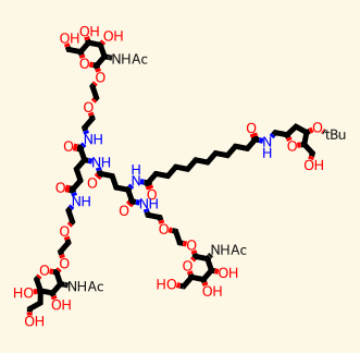 CC(=O)NC1C(OCCOCCNC(=O)C(CCC(=O)NCCOCCOC2OCC(O)(CCO)C(O)C2NC(C)=O)NC(=O)CCC(NC(=O)CCCCCCCCCCC(=O)NCC2CC(OC(C)(C)C)C(CO)O2)C(=O)NCCOCCOC2OC(CO)C(O)C(O)C2NC(C)=O)OC(CO)C(O)C1O